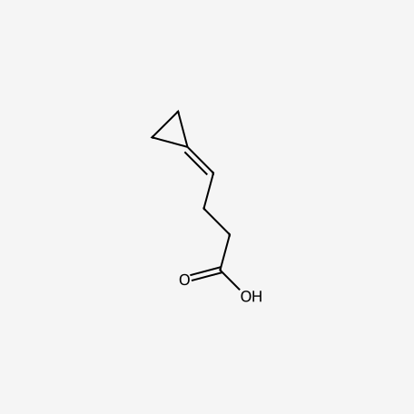 O=C(O)CCC=C1CC1